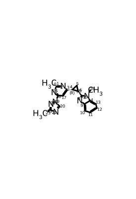 Cc1nc([C@@H]2C[C@H]2c2nc3ccccc3n2C)cc(-n2cnc(C)n2)n1